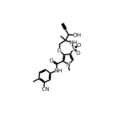 C#CC(O)C1(C)COc2c(cn(C)c2C(=O)Nc2ccc(C)c(C#N)c2)S(=O)(=O)N1